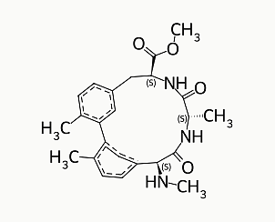 CN[C@@H]1C(=O)N[C@@H](C)C(=O)N[C@H](C(=O)OC)Cc2ccc(C)c(c2)-c2cc1ccc2C